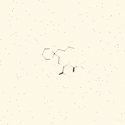 CCCCC1(CC[C@@H](NC(=O)OC)C(=O)O)OCCCO1